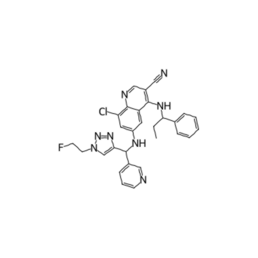 CCC(Nc1c(C#N)cnc2c(Cl)cc(NC(c3cccnc3)c3cn(CCF)nn3)cc12)c1ccccc1